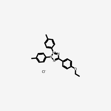 CCOc1ccc(-c2nn(-c3ccc(C)cc3)[n+](-c3ccc(C)cc3)n2)cc1.[Cl-]